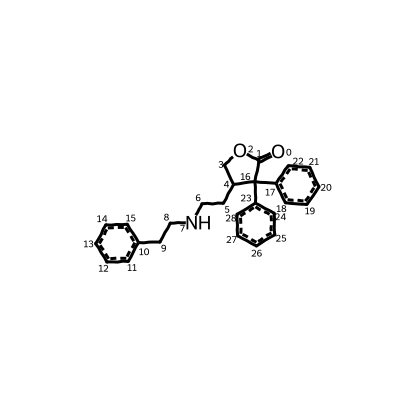 O=C1OCC(CCNCCc2ccccc2)C1(c1ccccc1)c1ccccc1